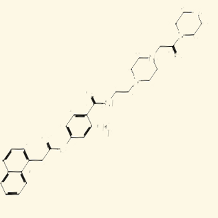 Cl.Cl.O=C(Cc1cccc2ccccc12)Oc1ccc(C(=O)NCCN2CCN(CC(=O)N3CCOCC3)CC2)cc1